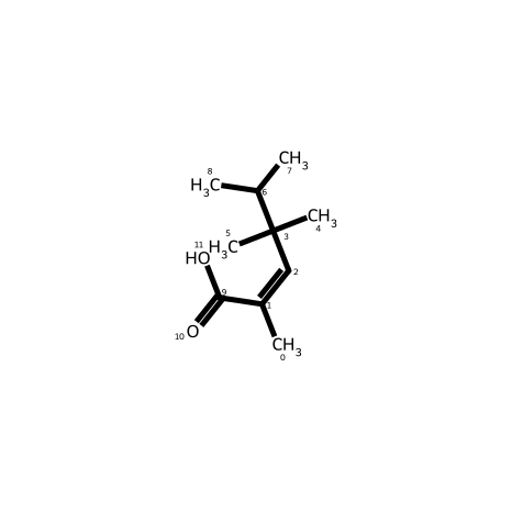 CC(=CC(C)(C)C(C)C)C(=O)O